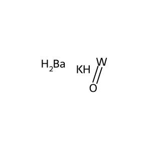 [BaH2].[KH].[O]=[W]